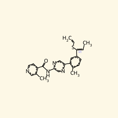 C=CS/C(=C\C)c1ccc(C)c(-c2cnc(NC(=O)c3ccncc3C)cn2)c1